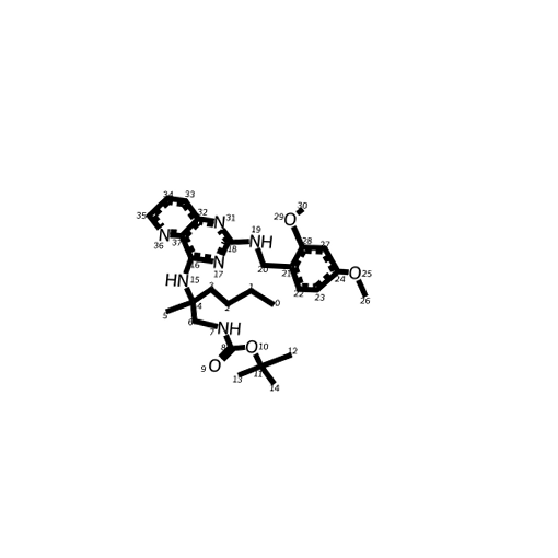 CCCCC(C)(CNC(=O)OC(C)(C)C)Nc1nc(NCc2ccc(OC)cc2OC)nc2cccnc12